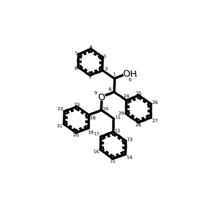 OC(c1ccccc1)C(OC(Cc1ccccc1)c1ccccc1)c1ccccc1